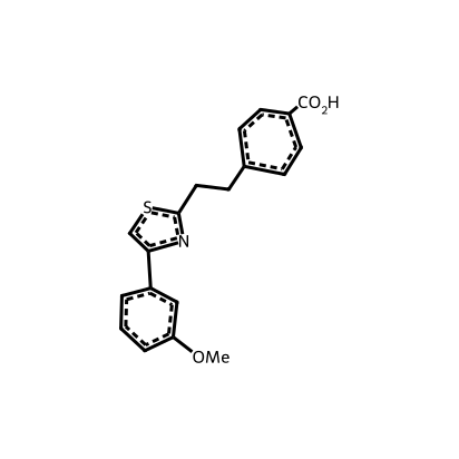 COc1cccc(-c2csc(CCc3ccc(C(=O)O)cc3)n2)c1